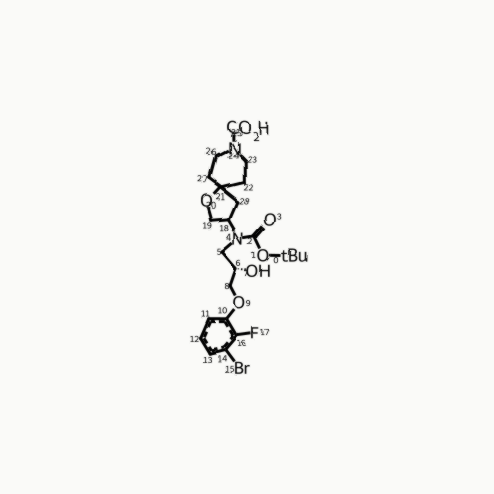 CC(C)(C)OC(=O)N(C[C@H](O)COc1cccc(Br)c1F)C1COC2(CCN(C(=O)O)CC2)C1